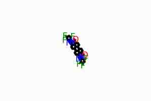 O=c1c2ccc3c4ccc5c(=O)n6c(nc7c(F)c(F)cc(F)c76)c6ccc(c7ccc(c2c37)c2nc3c(F)c(F)cc(F)c3n12)c4c56